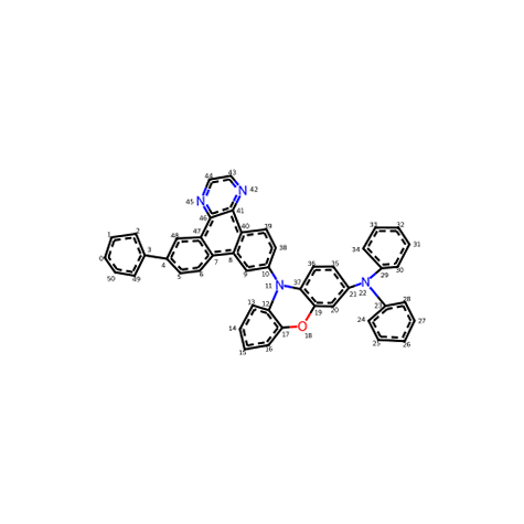 c1ccc(-c2ccc3c4cc(N5c6ccccc6Oc6cc(N(c7ccccc7)c7ccccc7)ccc65)ccc4c4nccnc4c3c2)cc1